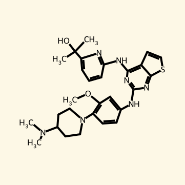 COc1cc(Nc2nc(Nc3cccc(C(C)(C)O)n3)c3ccsc3n2)ccc1N1CCC(N(C)C)CC1